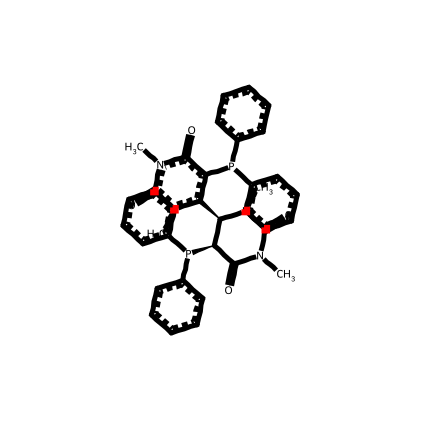 CN1C(=O)[C@@H](P(c2ccccc2)c2ccccc2)[C@@H](c2c(P(c3ccccc3)c3ccccc3)c(=O)n(C)c(=O)n2C)N(C)C1=O